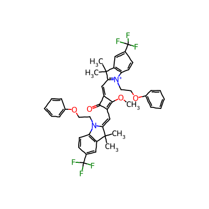 COC1=C(/C=C2\N(CCOc3ccccc3)c3ccc(C(F)(F)F)cc3C2(C)C)C(=O)/C1=C/C1=[N+](CCOc2ccccc2)c2ccc(C(F)(F)F)cc2C1(C)C